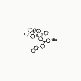 CC(C)(C)c1ccc(N(c2cccc(-c3ccc4ccccc4c3)c2)c2ccc3c(c2)N(c2ccccc2)c2cccc4c2B3c2cccc3c2N4C2(C)CCCCC32C)cc1